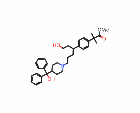 COC(=O)C(C)(C)c1ccc(C(CCO)CCCN2CCC(C(O)(c3ccccc3)c3ccccc3)CC2)cc1